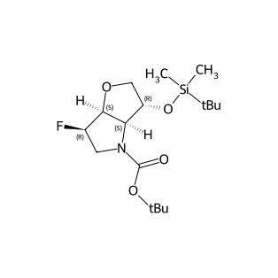 CC(C)(C)OC(=O)N1C[C@@H](F)[C@H]2OC[C@H](O[Si](C)(C)C(C)(C)C)[C@H]21